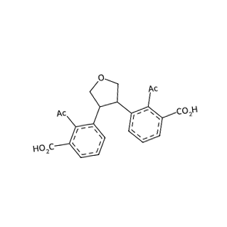 CC(=O)c1c(C(=O)O)cccc1C1COCC1c1cccc(C(=O)O)c1C(C)=O